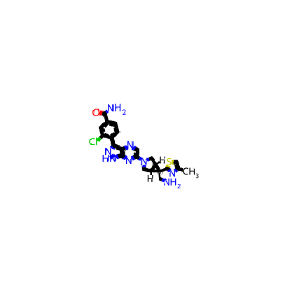 Cc1csc([C@]2(CN)[C@@H]3CN(c4cnc5c(-c6ccc(C(N)=O)cc6Cl)n[nH]c5n4)C[C@@H]32)n1